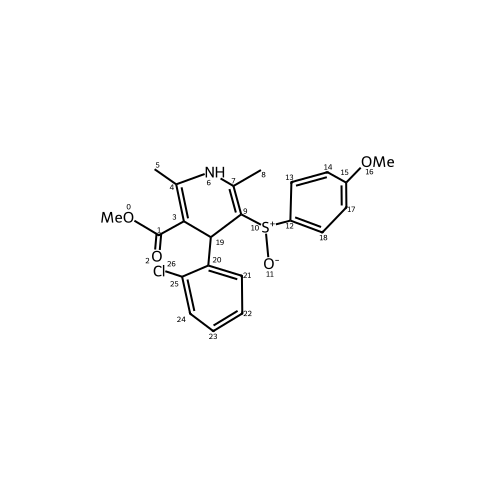 COC(=O)C1=C(C)NC(C)=C([S+]([O-])c2ccc(OC)cc2)C1c1ccccc1Cl